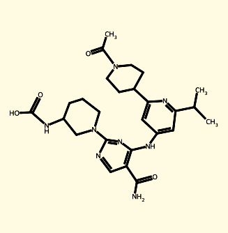 CC(=O)N1CCC(c2cc(Nc3nc(N4CCCC(NC(=O)O)C4)ncc3C(N)=O)cc(C(C)C)n2)CC1